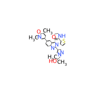 Cc1cc(-c2ccc3nc(-c4cnn(CC(C)(C)O)c4)nc([C@@H]4OCCNC4c4cccs4)c3c2)cn(C)c1=O